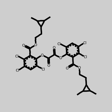 CC1C(C)C1CCOC(=O)c1c(Cl)c(Cl)cc(Cl)c1OC(=O)C(=O)Oc1c(Cl)cc(Cl)c(Cl)c1C(=O)OCCC1C(C)C1C